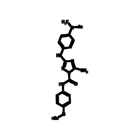 CCCCOc1ccc(NC(=O)n2nc(Nc3ccc(N(C)C(C)=O)cc3)nc2N)cc1